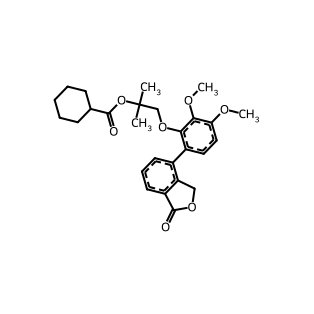 COc1ccc(-c2cccc3c2COC3=O)c(OCC(C)(C)OC(=O)C2CCCCC2)c1OC